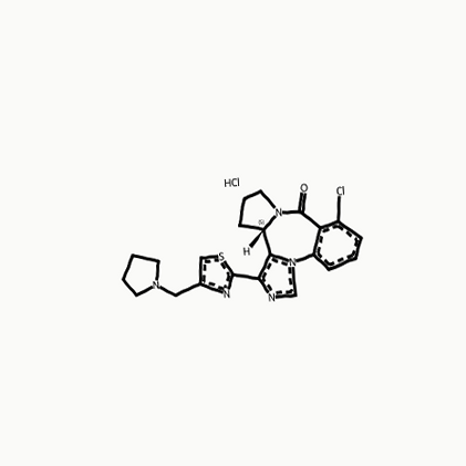 Cl.O=C1c2c(Cl)cccc2-n2cnc(-c3nc(CN4CCCC4)cs3)c2[C@@H]2CCCN12